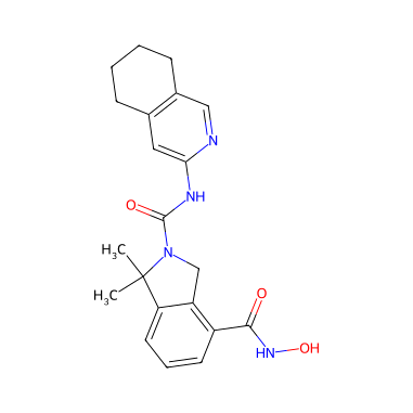 CC1(C)c2cccc(C(=O)NO)c2CN1C(=O)Nc1cc2c(cn1)CCCC2